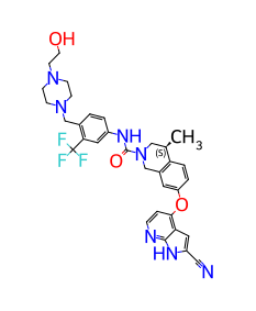 C[C@@H]1CN(C(=O)Nc2ccc(CN3CCN(CCO)CC3)c(C(F)(F)F)c2)Cc2cc(Oc3ccnc4[nH]c(C#N)cc34)ccc21